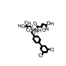 CC(O)(CN(Cc1ccc(-c2cc(Cl)cc(Cl)c2)cc1)NC(=O)c1cc(O)no1)C(=O)O